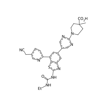 CCNC(=O)Nc1nc2cc(-c3cnc(N4CCC(C)(C(=O)O)CC4)nc3)cc(-c3ccc(CC#N)cn3)c2s1